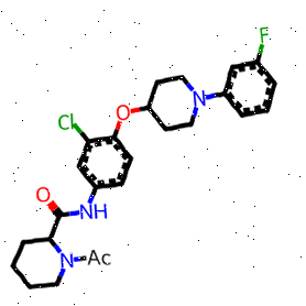 CC(=O)N1CCCCC1C(=O)Nc1ccc(OC2CCN(c3cccc(F)c3)CC2)c(Cl)c1